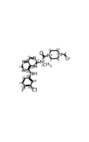 CN(C(=O)N1CCN(C=O)CC1)c1ncc2ncnc(Nc3ccc(F)c(Cl)c3)c2n1